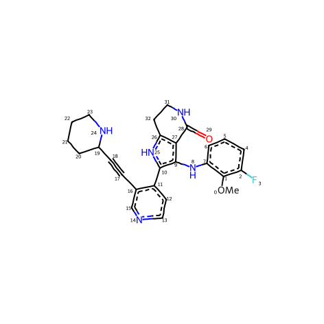 COc1c(F)cccc1Nc1c(-c2ccncc2C#CC2CCCCN2)[nH]c2c1C(=O)NCC2